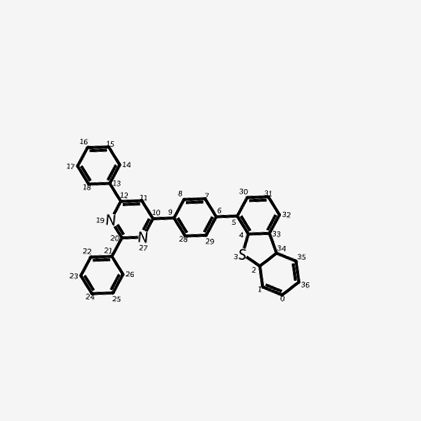 C1=CC2Sc3c(-c4ccc(-c5cc(-c6ccccc6)nc(-c6ccccc6)n5)cc4)cccc3C2C=C1